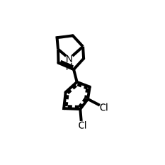 Clc1ccc(C2=CC3CCC(C2)N3)cc1Cl